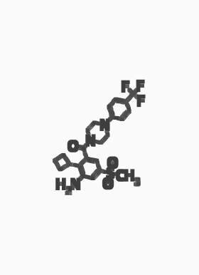 CS(=O)(=O)c1cc(N)c(C2CCC2)c(C(=O)N2CCN(c3ccc(C(F)(F)F)cc3)CC2)c1